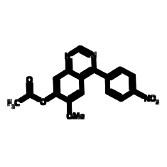 COc1cc2c(-c3ccc([N+](=O)[O-])cc3)ncnc2cc1OC(=O)C(F)(F)F